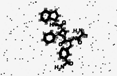 C[C@H](N)C(=O)N[C@@H](Cc1cccc(C(N)=O)c1)C(=O)N1C[C@H](C(=O)N[C@H]2CCc3ccccc32)[C@H]1c1ccccc1